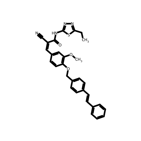 CCc1nnc(NC(=O)C(C#N)=Cc2ccc(OCc3ccc(C=Cc4ccccc4)cc3)c(OC)c2)s1